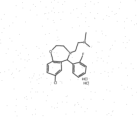 CN(C)CCN1CCOc2ccc(Cl)cc2C1c1ccccc1F.Cl.Cl